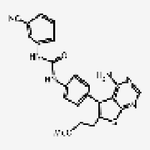 COCCc1sc2ncnc(N)c2c1-c1ccc(NC(=O)Nc2cccc(C#N)c2)cc1